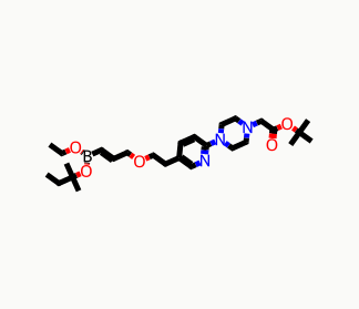 CCOB(/C=C/COCCc1ccc(N2CCN(CC(=O)OC(C)(C)C)CC2)nc1)OC(C)(C)CC